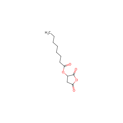 CCCCCCCC(=O)OC1CC(=O)OC1=O